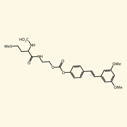 COc1cc(/C=C/c2ccc(OC(=O)OCCNC(=O)C(CCSC)NC(=O)O)cc2)cc(OC)c1